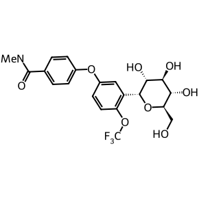 CNC(=O)c1ccc(Oc2ccc(OC(F)(F)F)c([C@H]3O[C@H](CO)[C@@H](O)[C@H](O)[C@H]3O)c2)cc1